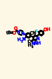 Cc1n[nH]c2nc(-c3ccc(O)cc3F)c(C#N)c(-c3ccc(N4CCN(C(=O)OC(C)(C)C)CC4)c(N)c3)c12